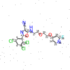 N#Cc1nc(-c2cc(Cl)cc(Cl)c2Cl)oc1NCCOCCOc1ccnc(F)c1